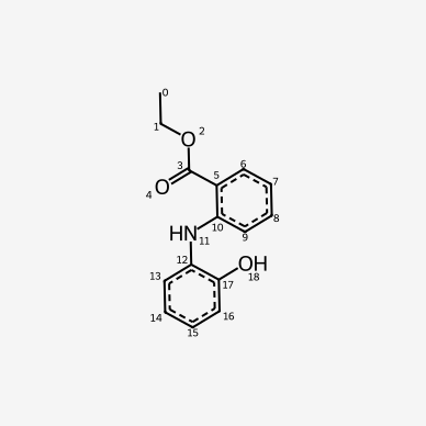 CCOC(=O)c1ccccc1Nc1ccccc1O